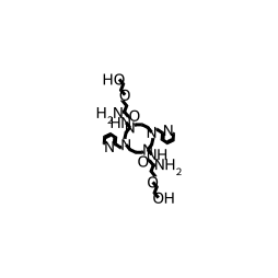 NC(CCOCCO)C(=O)NN1CCCN(Cc2ccccn2)CCN(NC(=O)C(N)CCOCCO)CCCN(Cc2ccccn2)CC1